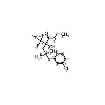 CCOC(=O)C(O)(CC(C)(C)Cc1cccc(Cl)c1)C(F)(F)F